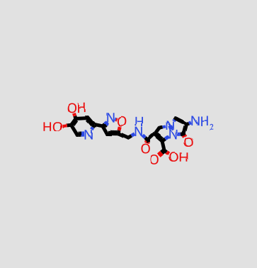 NC1CN2CC(C(=O)NCc3cc(-c4cc(O)c(O)cn4)no3)=C(C(=O)O)N2C1=O